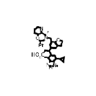 CC[C@@H]1CN(Cc2cc(C(CC(=O)O)c3cc(C4CC4)c4c(nnn4C)c3C)cc3c2OCC3)[C@@H](C)c2ncccc2O1